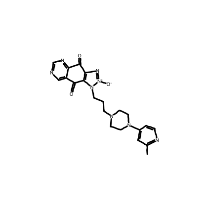 Cc1cc(N2CCN(CCCn3c4c(n[n+]3[O-])C(=O)c3ncncc3C4=O)CC2)ccn1